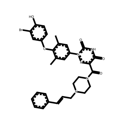 Cc1cc(-n2nc(C(=O)N3CCN(CC=Cc4ccccc4)CC3)c(=O)[nH]c2=O)cc(C)c1Oc1ccc(O)c(Br)c1